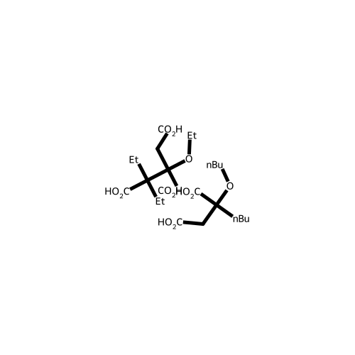 CCCCOC(CCCC)(CC(=O)O)C(=O)O.CCOC(CC(=O)O)(C(=O)O)C(CC)(CC)C(=O)O